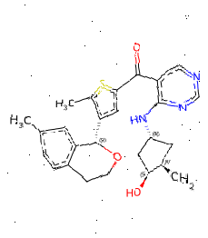 [CH2][C@@H]1C[C@@H](Nc2ncncc2C(=O)c2cc([C@@H]3OCCc4ccc(C)cc43)c(C)s2)C[C@@H]1O